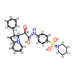 O=C(Nc1ccc(S(=O)(=O)N2CCCCC2)cc1)C(=O)c1c(-c2ccccc2)cc2ccccn12